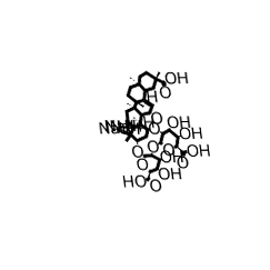 CC1(C)[C@@H](O[C@H]2O[C@H](C(=O)O)[C@@H](O)[C@H](O)[C@H]2O[C@@H]2O[C@H](C(=O)O)[C@@H](O)[C@H](O)[C@H]2O)CC[C@]2(C)[C@H]3C(=O)C=C4[C@@H]5C[C@@](C)(C(=O)O)CC[C@]5(C)CC[C@@]4(C)[C@]3(C)CC[C@@H]12.[NaH].[NaH].[NaH]